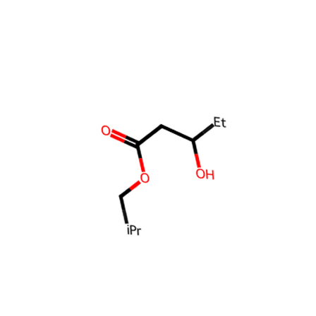 CCC(O)CC(=O)OCC(C)C